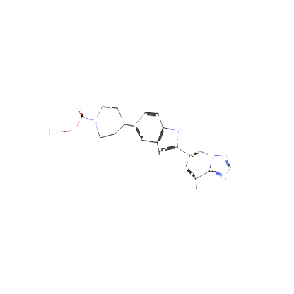 CC(C)c1c(-c2cc(C(C)C)c3ncnn3c2)[nH]c2ccc(C3CCN(C(=O)OC(C)(C)C)CC3)cc12